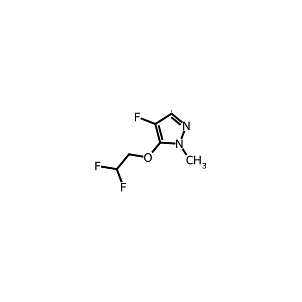 Cn1n[c]c(F)c1OCC(F)F